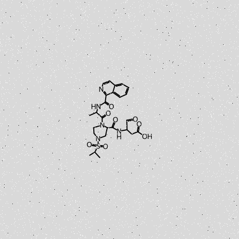 CC(NC(=O)c1nccc2ccccc12)C(=O)N1CCN(S(=O)(=O)C(C)C)CC1C(=O)NC(C=O)CC(=O)O